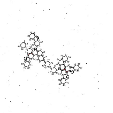 c1ccc(-c2cccc(N(c3ccc4sc5ccccc5c4c3)c3ccc4cc(-c5ccc(-c6cccc(N(c7ccc8oc9ccccc9c8c7)c7ccc8ccccc8c7-c7ccc8oc9ccccc9c8c7)c6)cc5)ccc4c3-c3ccc4oc5ccccc5c4c3)c2)cc1